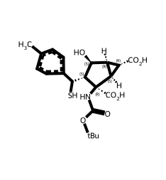 Cc1ccc(C(S)[C@@H]2[C@@H](O)[C@H]3[C@H](C(=O)O)[C@H]3[C@]2(NC(=O)OC(C)(C)C)C(=O)O)cc1